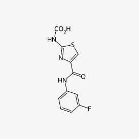 O=C(O)Nc1nc(C(=O)Nc2cccc(F)c2)cs1